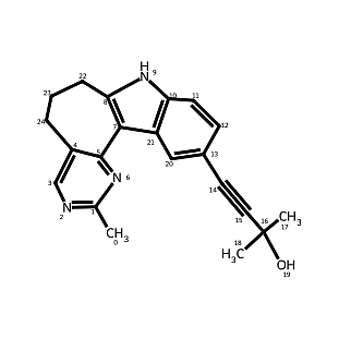 Cc1ncc2c(n1)-c1c([nH]c3ccc(C#CC(C)(C)O)cc13)CCC2